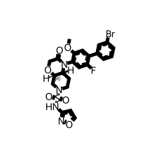 COc1cc(-c2cccc(Br)c2)c(F)cc1N1C(=O)CO[C@@H]2CN(S(=O)(=O)Nc3ccon3)CC[C@H]21